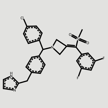 CS(=O)(=O)C(=C1CN(C(c2ccc(Cl)cc2)c2ccc(Cc3ncc[nH]3)cc2)C1)c1cc(F)cc(F)c1